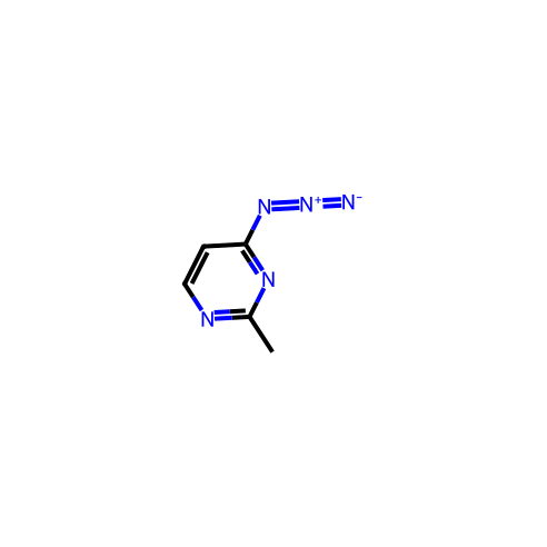 Cc1nccc(N=[N+]=[N-])n1